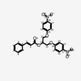 O=C(C=Cc1ccccc1)OC(COc1ccc([N+](=O)[O-])cc1)COc1ccc([N+](=O)[O-])cc1